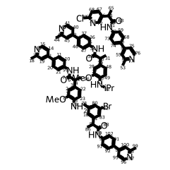 COc1cc(C(C)C(=O)Nc2ccc(-c3ccnc(C)c3)cc2)ccc1N.COc1cc(C(C)C(=O)Nc2ccc(-c3ccnc(C)c3)cc2)ccc1NC(C)C.Cc1cc(-c2ccc(NC(=O)C(C)c3ccc(Cl)nc3)cc2)ccn1.Cc1cc(Br)cc(C(C)C(=O)Nc2ccc(-c3ccnc(C)c3)cc2)c1